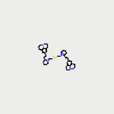 C1=C(/C=C/c2cc3c4c(c2)CCCN4CCC3)[N+](CCSSCC[n+]2ccccc2/C=C/c2cc3c4c(c2)CCCN4CCC3)=CCC1